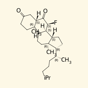 CC(C)CCC[C@@H](C)[C@H]1CC[C@H]2[C@@H]3[C@H](F)C(=O)[C@H]4CC(=O)CC[C@]4(C)[C@H]3CC[C@]12C